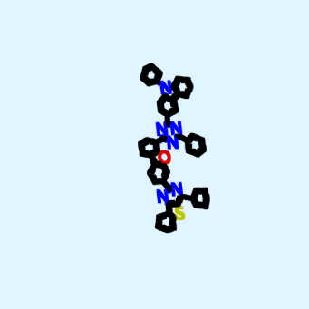 c1ccc(-c2nc(-c3ccc4c(c3)c3ccccc3n4-c3ccccc3)nc(-c3cccc4c3oc3cc(-c5nc(-c6ccccc6)c6sc7ccccc7c6n5)ccc34)n2)cc1